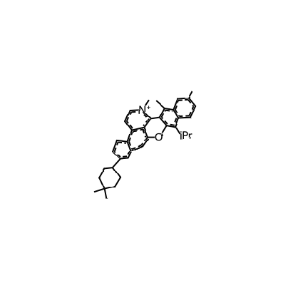 Cc1ccc2c(C(C)C)c3c(c(C)c2c1)-c1c2c(cc4cc(C5CCC(C)(C)CC5)ccc4c2cc[n+]1C)O3